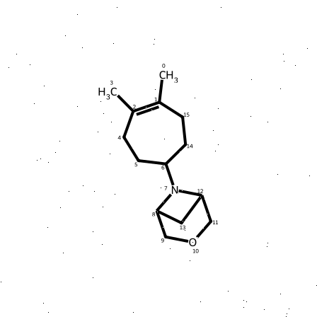 CC1=C(C)CCC(N2C3COCC2C3)CC1